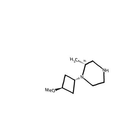 CO[C@H]1C[C@H](N2CCNC[C@H]2C)C1